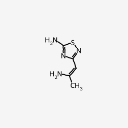 CC(N)=Cc1nsc(N)n1